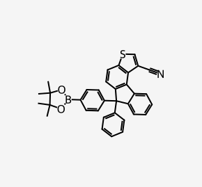 CC1(C)OB(c2ccc(C3(c4ccccc4)c4ccccc4-c4c3ccc3scc(C#N)c43)cc2)OC1(C)C